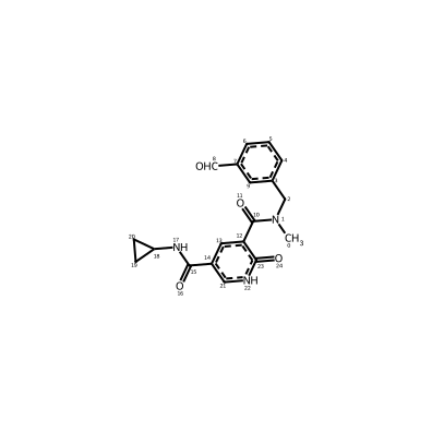 CN(Cc1cccc(C=O)c1)C(=O)c1cc(C(=O)NC2CC2)c[nH]c1=O